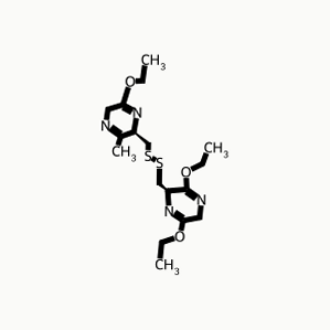 CCOC1=N[C@@H](CSSC[C@@H]2N=C(OCC)CN=C2OCC)C(C)=NC1